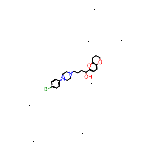 OC(CCCN1CCN(c2ccc(Br)cc2)CC1)C1=CC=C2OCCCC2O1